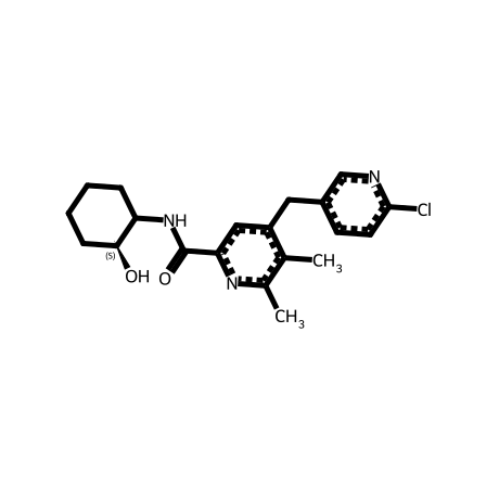 Cc1nc(C(=O)NC2CCCC[C@@H]2O)cc(Cc2ccc(Cl)nc2)c1C